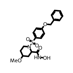 COC1CCN(S(=O)(=O)c2ccc(OCc3ccccc3)cc2)C(C(=O)NO)C1